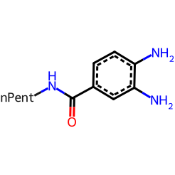 CCCCCNC(=O)c1ccc(N)c(N)c1